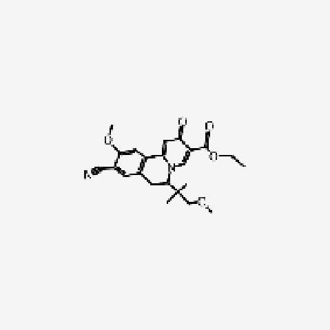 CCOC(=O)c1cn2c(cc1=O)-c1cc(OC)c(C#N)cc1CC2C(C)(C)COC